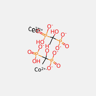 CC(O)(P(=O)([O-])[O-])P(=O)([O-])O.CC(O)(P(=O)([O-])[O-])P(=O)([O-])O.[Co+2].[Co+2].[Co+2]